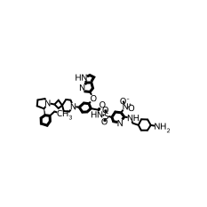 CCc1ccccc1[C@H]1CCCN1C1CC2(CCN(c3ccc(C(=O)NS(=O)(=O)c4cnc(NCC5CCC(N)CC5)c([N+](=O)[O-])c4)c(Oc4cnc5[nH]ccc5c4)c3)CC2)C1